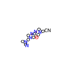 N#Cc1ccc2c(c1)c1ccccc1n2-c1ccc2c(c1)C1(c3cc(-n4c5ccccc5c5cc(-n6c7ccccc7c7ccncc76)ccc54)ccc3O2)c2cccnc2-c2ncccc21